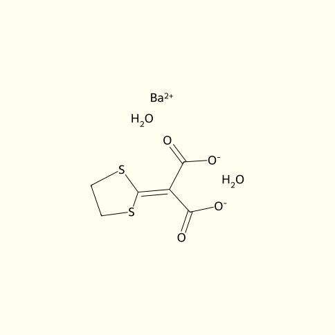 O.O.O=C([O-])C(C(=O)[O-])=C1SCCS1.[Ba+2]